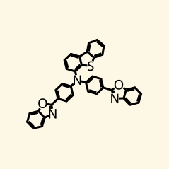 c1ccc2oc(-c3ccc(N(c4ccc(-c5nc6ccccc6o5)cc4)c4cccc5c4sc4ccccc45)cc3)nc2c1